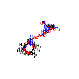 C/C=C(\C)[C@H]1OC(=O)[C@@H](C)NC(=O)[C@H](C(C)CC)NC(=O)CN(C)C(=O)[C@@H](Cc2ccc(OC(=O)NCCCOCCOCCOCCCNC(=O)OCc3ccc(NC(=O)[C@H](CCCNC(N)=O)NC(=O)[C@@H](NC(=O)CCCCCN4C(=O)C=CC4=O)C(C)C)cc3)cc2)N(C)C(=O)[C@H](C)NC(=O)[C@@H](CC(C)C)OC(=O)/C(C)=C/CC[C@@H]1C